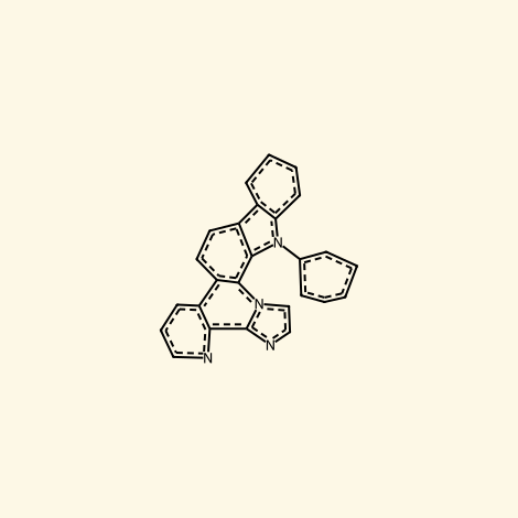 c1ccc(-n2c3ccccc3c3ccc4c5cccnc5c5nccn5c4c32)cc1